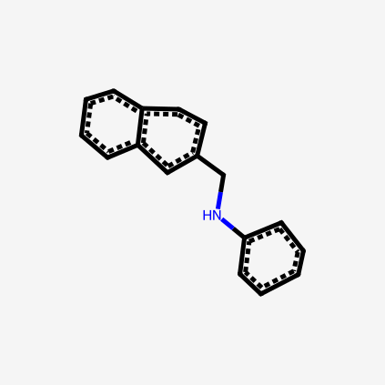 c1ccc(NCc2ccc3ccccc3c2)cc1